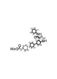 COC(=O)C[C@H]1CC[C@H](c2ccc(-c3ccc4c(c3)N(C(=O)Nc3ccccc3)CCN4)cc2)CC1